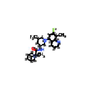 Cc1c(F)cc(N2CC(C(F)(F)F)C[C@@H](NC(=O)CC3C4CC3CN(C)C4)C2)c2cccnc12